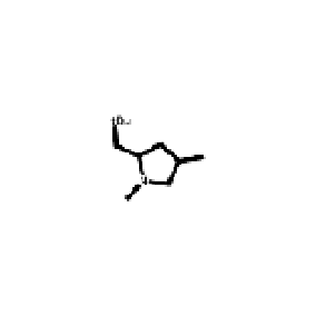 CC1CC(CC(C)(C)C)N(C)C1